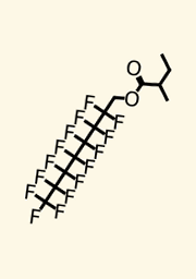 CCC(C)C(=O)OCC(F)(F)C(F)(F)C(F)(F)C(F)(F)C(F)(F)C(F)(F)C(F)(F)F